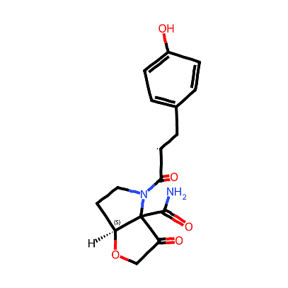 NC(=O)C12C(=O)CO[C@H]1CCN2C(=O)[CH]Cc1ccc(O)cc1